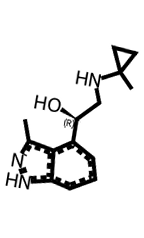 Cc1n[nH]c2cccc([C@@H](O)CNC3(C)CC3)c12